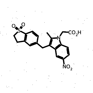 Cc1c(Cc2ccc3c(c2)CCS3(=O)=O)c2cc([N+](=O)[O-])ccc2n1CC(=O)O